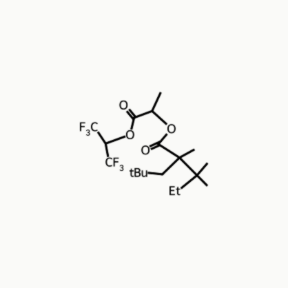 CCC(C)(C)C(C)(CC(C)(C)C)C(=O)OC(C)C(=O)OC(C(F)(F)F)C(F)(F)F